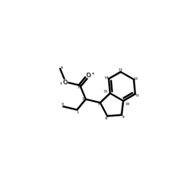 CCC(C(=O)OC)C1CCC2=CCCC=C21